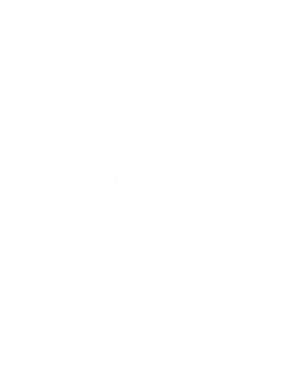 CC(N)=S.[H+]